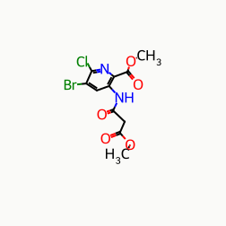 COC(=O)CC(=O)Nc1cc(Br)c(Cl)nc1C(=O)OC